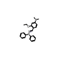 CCOc1cc(N(C)C)ccc1/C=N/N(c1ccccc1)c1ccccc1